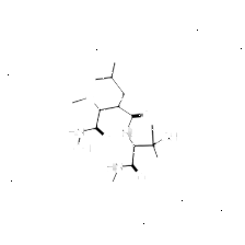 CNC(=O)C(NC(=O)C(CC(C)C)C(OC)C(=O)NO)C(C)(C)S